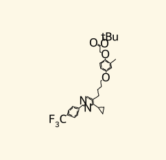 Cc1cc(OCCCCc2cnc(-c3ccc(C(F)(F)F)cc3)nc2C2CC2)ccc1OCC(=O)OC(C)(C)C